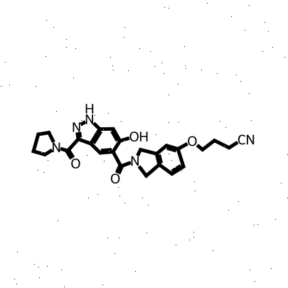 N#CCCCOc1ccc2c(c1)CN(C(=O)c1cc3c(C(=O)N4CCCC4)n[nH]c3cc1O)C2